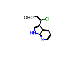 O=C/C=C(/Cl)c1c[nH]c2ncccc12